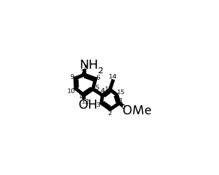 COc1ccc(-c2cc(N)ccc2O)c(C)c1